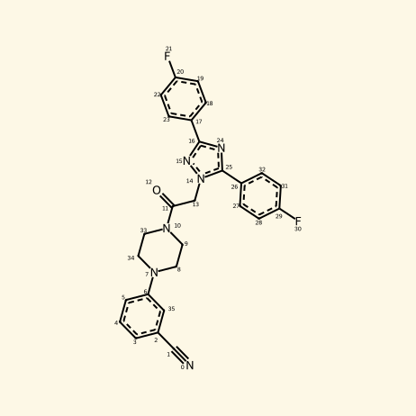 N#Cc1cccc(N2CCN(C(=O)Cn3nc(-c4ccc(F)cc4)nc3-c3ccc(F)cc3)CC2)c1